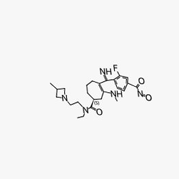 CCN(CCN1CC(C)C1)C(=O)[C@H]1CCCC(C(=N)c2ccc(C(=O)N=O)cc2F)=C(NC)C1